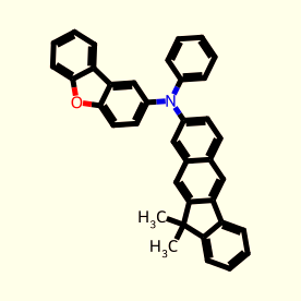 CC1(C)c2ccccc2-c2cc3ccc(N(c4ccccc4)c4ccc5oc6ccccc6c5c4)cc3cc21